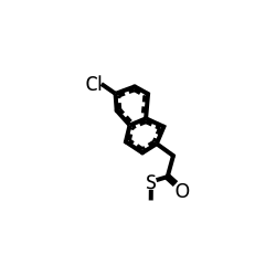 CSC(=O)Cc1ccc2cc(Cl)ccc2c1